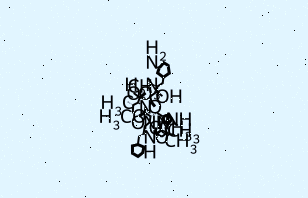 CC[C@H](C)[C@@H](C(=O)OC)N(C(=O)CC(O)[C@@H](N)Cc1cccc(N)c1)C(=O)[C@H](Cc1c[nH]cn1)NC(=O)[C@H](Cc1ccccc1)NC(=O)OC(C)(C)C